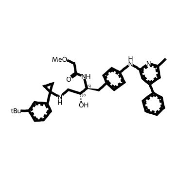 COCC(=O)N[C@@H](Cc1ccc(Nc2cc(-c3ccccc3)cc(C)n2)cc1)[C@H](O)CNC1(c2cccc(C(C)(C)C)c2)CC1